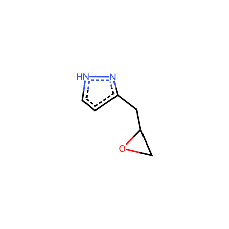 c1cc(CC2CO2)n[nH]1